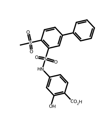 CS(=O)(=O)c1ccc(-c2ccccc2)cc1S(=O)(=O)Nc1ccc(C(=O)O)c(O)c1